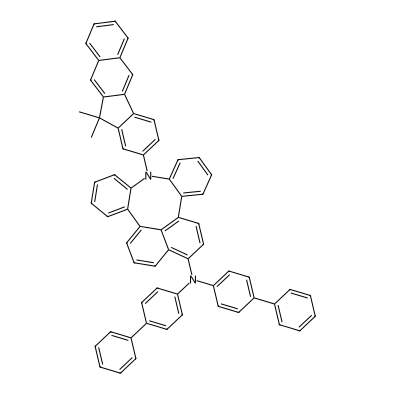 CC1(C)c2cc(N3c4ccccc4-c4cccc5c(N(c6ccc(-c7ccccc7)cc6)c6ccc(-c7ccccc7)cc6)ccc(c45)-c4ccccc43)ccc2-c2cc3ccccc3cc21